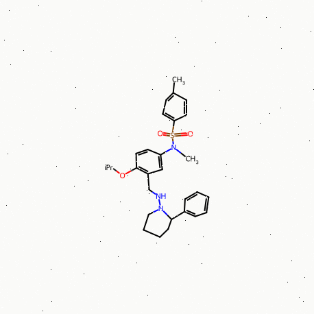 Cc1ccc(S(=O)(=O)N(C)c2ccc(OC(C)C)c(CNN3CCCCC3c3ccccc3)c2)cc1